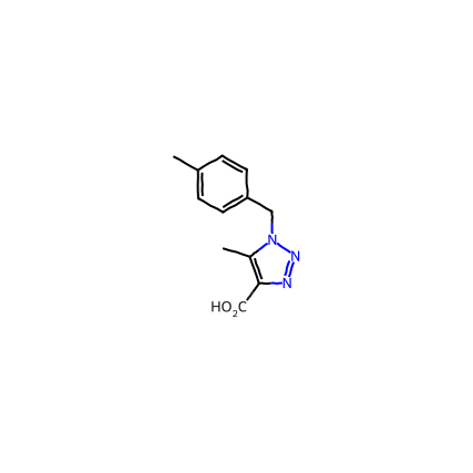 Cc1ccc(Cn2nnc(C(=O)O)c2C)cc1